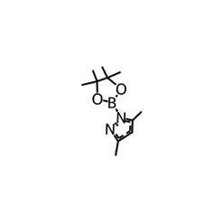 Cc1cc(C)n(B2OC(C)(C)C(C)(C)O2)n1